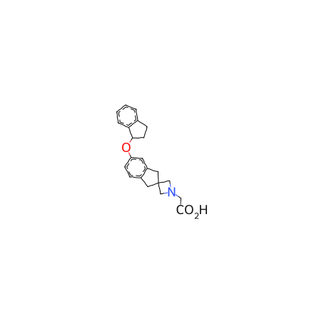 O=C(O)CN1CC2(Cc3ccc(OC4CCc5ccccc54)cc3C2)C1